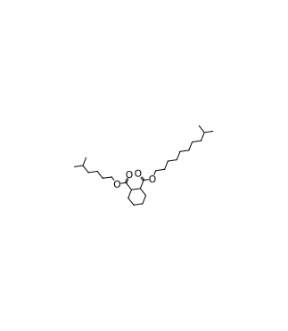 CC(C)CCCCCCCCOC(=O)C1CCCCC1C(=O)OCCCCC(C)C